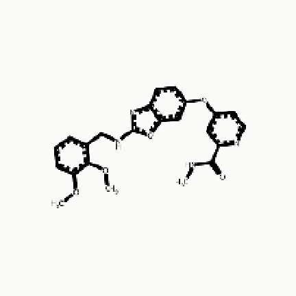 CNC(=O)c1cc(Oc2ccc3nc(NCc4cccc(OC)c4OC)oc3c2)ccn1